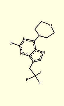 FC(F)(F)Cn1cnc2c(N3CCOCC3)nc(Cl)nc21